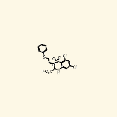 O=C(O)C1Nc2cc(Cl)cc(Cl)c2S(=O)(=O)N1CCSc1ccccc1